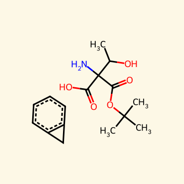 CC(O)C(N)(C(=O)O)C(=O)OC(C)(C)C.c1ccc2c(c1)C2